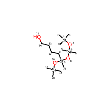 C[Si](C)(C)O[Si](C)(C)O[Si](C)(CCCCO)O[Si](C)(C)C